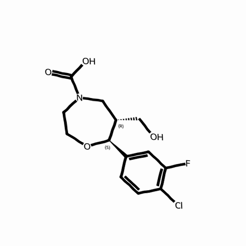 O=C(O)N1CCO[C@H](c2ccc(Cl)c(F)c2)[C@@H](CO)C1